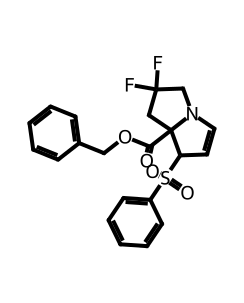 O=C(OCc1ccccc1)C12CC(F)(F)CN1C=CC2S(=O)(=O)c1ccccc1